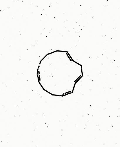 [C]1=C/C/C=C/C=C\CC/C=C\CCC/1